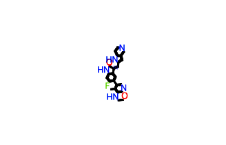 Cc1c(-c2cc3c(cc2F)NC(=O)/C3=C\c2cc3cnccc3[nH]2)cnc2c1NCCO2